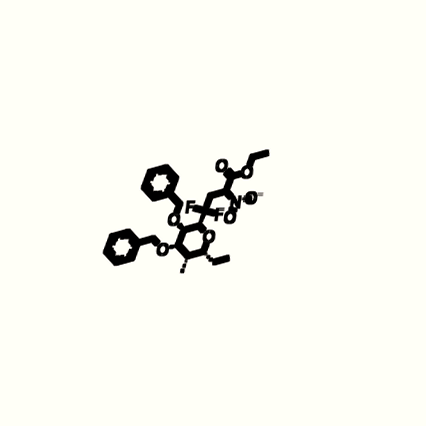 CCOC(=O)C(CC(F)(F)[C@H]1O[C@H](CC)[C@H](C)[C@H](OCc2ccccc2)[C@H]1OCc1ccccc1)[N+](=O)[O-]